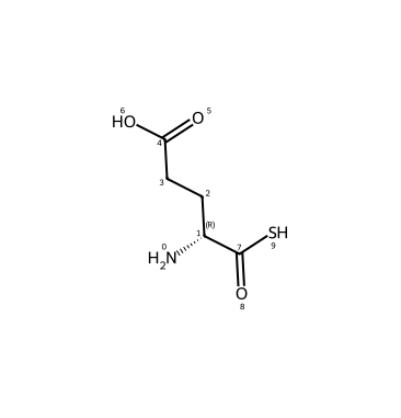 N[C@H](CCC(=O)O)C(=O)S